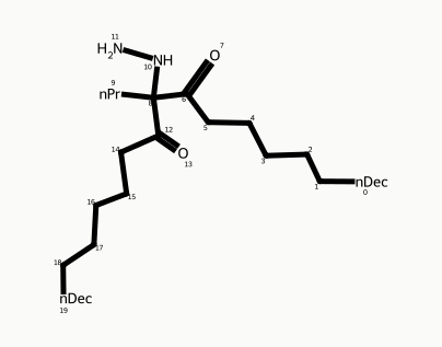 CCCCCCCCCCCCCCCC(=O)C(CCC)(NN)C(=O)CCCCCCCCCCCCCCC